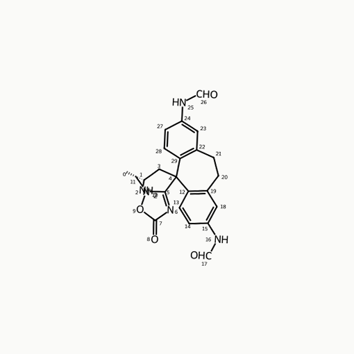 C[C@@H](N)CC1(c2nc(=O)on2C)c2ccc(NC=O)cc2CCc2cc(NC=O)ccc21